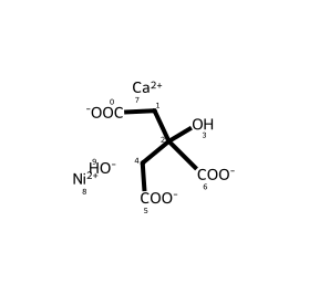 O=C([O-])CC(O)(CC(=O)[O-])C(=O)[O-].[Ca+2].[Ni+2].[OH-]